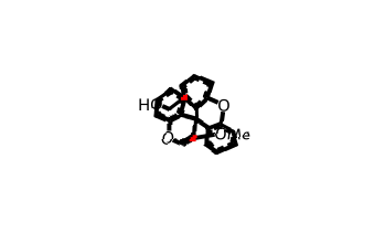 COc1cccc2c1C1(c3ccccc3Oc3cccc(CO)c31)c1ccccc1O2